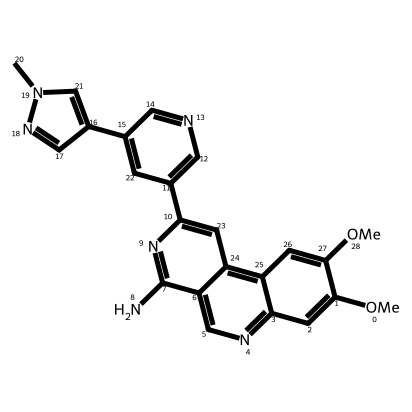 COc1cc2ncc3c(N)nc(-c4cncc(-c5cnn(C)c5)c4)cc3c2cc1OC